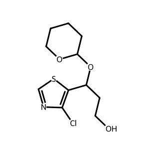 OCCC(OC1CCCCO1)c1scnc1Cl